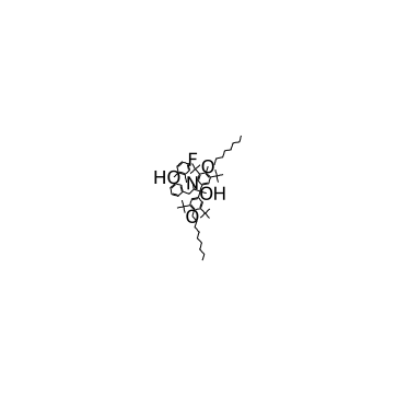 CCCCCCCCOc1c(C(C)(C)C)cc(C(O)(c2cc(C(C)(C)C)c(OCCCCCCCC)c(C(C)(C)C)c2)C(Cc2ccccc2)N=Cc2cc(F)ccc2O)cc1C(C)(C)C